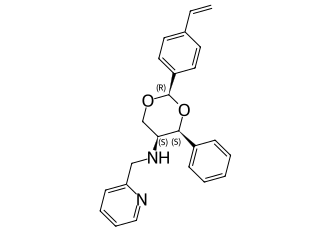 C=Cc1ccc([C@@H]2OC[C@H](NCc3ccccn3)[C@H](c3ccccc3)O2)cc1